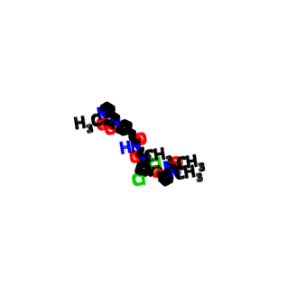 COCC(=O)N(Cc1cccnc1)c1ccc(C=CC(=O)NCC(=O)N(C)c2ccc(Cl)c(COc3cccc4c3nc(OC)n4C)c2Cl)cc1